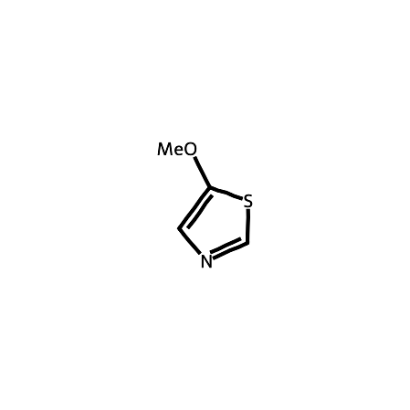 COc1cncs1